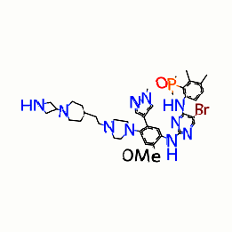 COc1cc(N2CCN(CCC3CCN(C4CNC4)CC3)CC2)c(-c2cnn(C)c2)cc1Nc1ncc(Br)c(Nc2ccc(C)c(C)c2P(C)(C)=O)n1